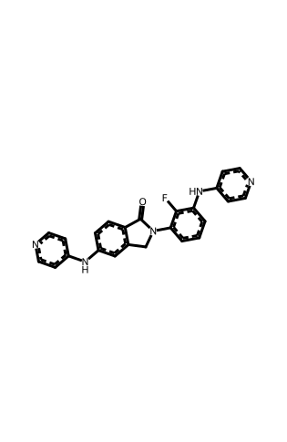 O=C1c2ccc(Nc3ccncc3)cc2CN1c1cccc(Nc2ccncc2)c1F